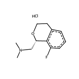 CN(C)C[C@@H]1OCCc2cccc(F)c21.Cl